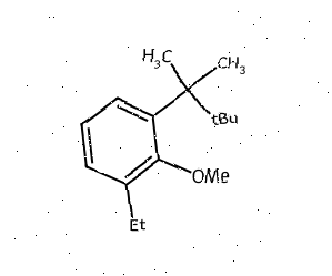 CCc1cccc(C(C)(C)C(C)(C)C)c1OC